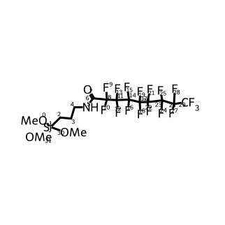 CO[Si](CCCNC(=O)C(F)(F)C(F)(F)C(F)(F)C(F)(F)C(F)(F)C(F)(F)C(F)(F)C(F)(F)F)(OC)OC